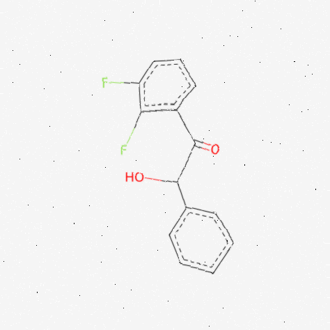 O=C(c1cccc(F)c1F)C(O)c1ccccc1